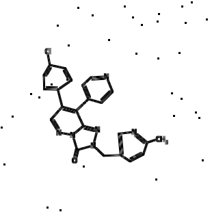 Cc1ccc(Cn2nc3c(-c4ccncc4)c(-c4ccc(Cl)cc4)cnn3c2=O)cn1